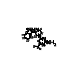 CC(C)c1cc(N2CCNC(c3csc4ccccc34)C2)nc(N)n1